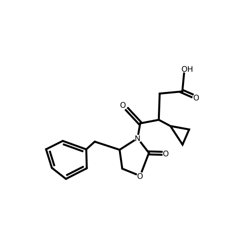 O=C(O)CC(C(=O)N1C(=O)OCC1Cc1ccccc1)C1CC1